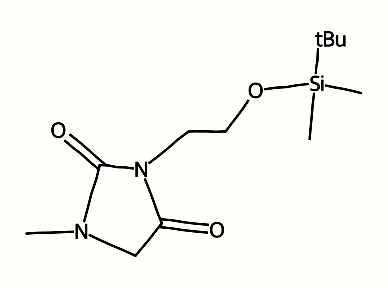 CN1CC(=O)N(CCO[Si](C)(C)C(C)(C)C)C1=O